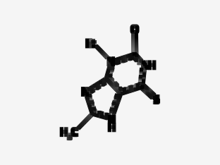 CCn1c(=O)[nH]c(=S)c2[nH]c(C)nc21